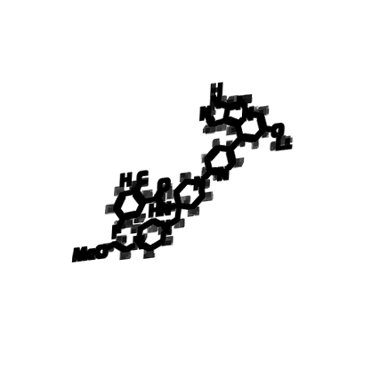 CCOc1cc(-c2ccc(N3CCC(CN4CCN(CCOC)CC4)(NC(=O)c4cc(F)ccc4C)CC3)nc2)c2c3cn[nH]c3nn2c1